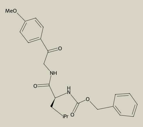 COc1ccc(C(=O)CNC(=O)[C@H](CC(C)C)NC(=O)OCc2ccccc2)cc1